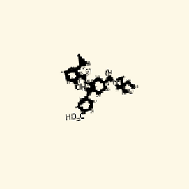 O=C(O)C1CC=C(c2nn(C(=O)c3c(Cl)cccc3C3CC3)c3c2CCC(C(=O)N2CC4(CCOC4)C2)C3)CC1